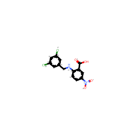 O=C(O)c1cc([N+](=O)[O-])ccc1NCc1cc(Cl)cc(Cl)c1